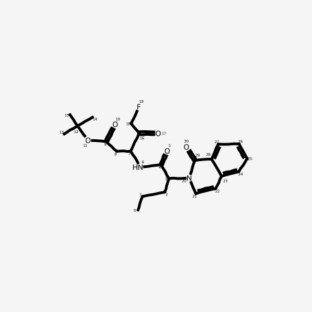 CCCC(C(=O)NC(CC(=O)OC(C)(C)C)C(=O)CF)n1ccc2ccccc2c1=O